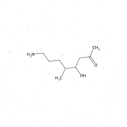 CC(=O)CC(O)C(C)CCCN